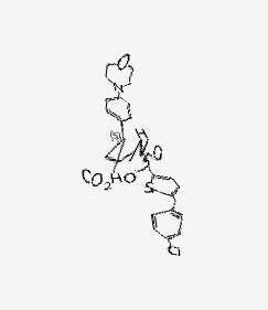 O=C(O)C1(NS(=O)(=O)c2ccc(-c3ccc(Cl)cc3)s2)C[C@H]1c1ccc(N2CCOCC2)cc1